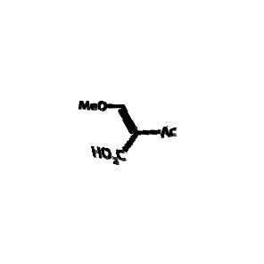 CO/C=C(/C(C)=O)C(=O)O